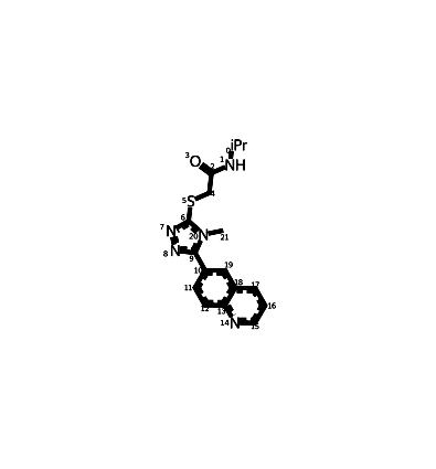 CC(C)NC(=O)CSc1nnc(-c2ccc3ncccc3c2)n1C